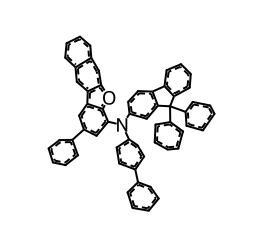 c1ccc(-c2ccc(N(c3ccc4c(c3)C(c3ccccc3)(c3ccccc3)c3ccccc3-4)c3cc(-c4ccccc4)cc4c3oc3cc5ccccc5cc34)cc2)cc1